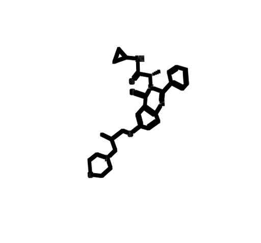 CC(COc1ccc2nc(-c3ccccc3)n([C@@H](C)C(=O)NC3CC3)c(=O)c2c1)CN1CCOCC1